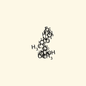 Cc1ccc(NC(=O)c2ccnc(C(F)(F)F)c2)cc1-c1ccc2c(c1)N1CCOC[C@@]1(C)C[C@H]2O